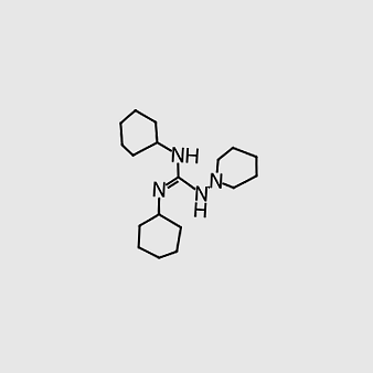 C1CCC(/N=C(/NC2CCCCC2)NN2CCCCC2)CC1